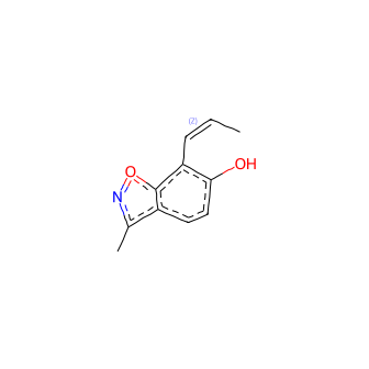 C/C=C\c1c(O)ccc2c(C)noc12